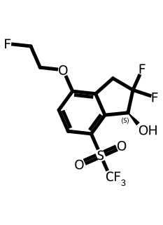 O=S(=O)(c1ccc(OCCF)c2c1[C@H](O)C(F)(F)C2)C(F)(F)F